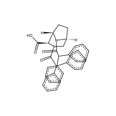 O=C(O)[C@H]1[C@@H]2CC[C@@H](CN1C(=O)C(c1ccccc1)c1ccccc1)N2C(=O)C(c1ccccc1)c1ccccc1